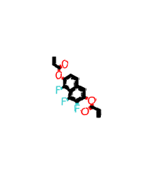 C=CC(=O)Oc1cc2ccc(OC(=O)C=C)c(F)c2c(F)c1F